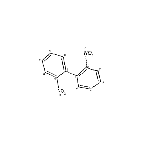 O=[N+]([O-])c1[c]cccc1-c1ccccc1[N+](=O)[O-]